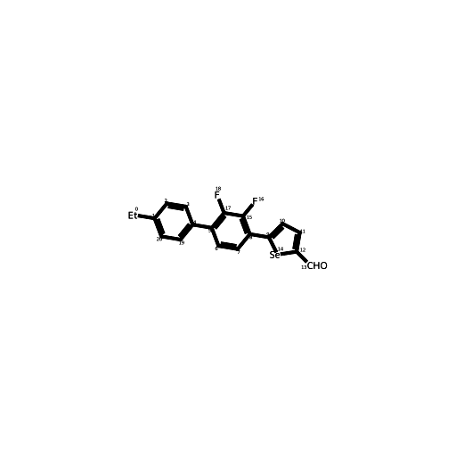 CCc1ccc(-c2ccc(-c3ccc(C=O)[se]3)c(F)c2F)cc1